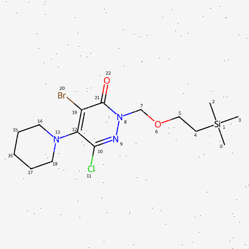 C[Si](C)(C)CCOCn1nc(Cl)c(N2CCCCC2)c(Br)c1=O